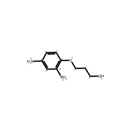 Nc1ccc(OCCCO)c(N)c1